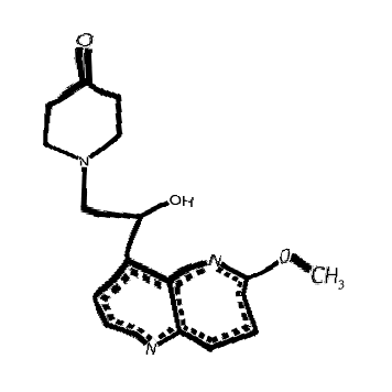 COc1ccc2nccc(C(O)CN3CCC(=O)CC3)c2n1